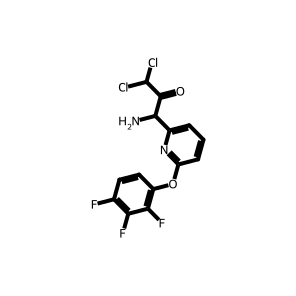 NC(C(=O)C(Cl)Cl)c1cccc(Oc2ccc(F)c(F)c2F)n1